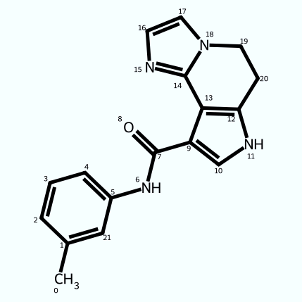 Cc1cccc(NC(=O)c2c[nH]c3c2-c2nccn2CC3)c1